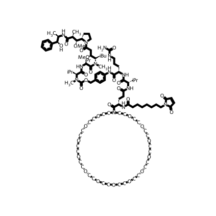 CC[C@H](C)[C@@H]([C@@H](CC(=O)N1CCC[C@H]1[C@H](OC)[C@@H](C)C(=O)N[C@H](C)[C@@H](O)c1ccccc1)OC)N(C)C(=O)[C@@H](NC(=O)[C@H](C(C)C)N(C)C(=O)OCc1ccc(NC(=O)[C@H](CCCNC(N)=O)NC(=O)[C@@H](NC(=O)CC[C@H](NC(=O)CCCCCCCN2C(=O)C=CC2=O)C(=O)N2CCOCCOCCOCCOCCOCCOCCOCCOCCOCCOCCOCCOCCOCC2)C(C)C)cc1)C(C)C